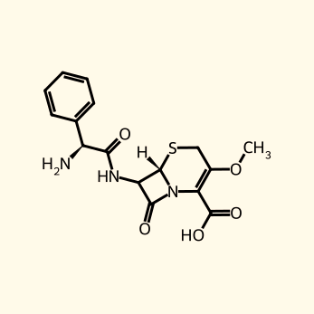 COC1=C(C(=O)O)N2C(=O)C(NC(=O)[C@@H](N)c3ccccc3)[C@@H]2SC1